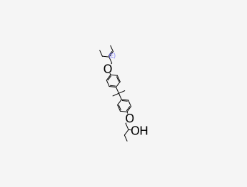 C/C=C(\CC)COc1ccc(C(C)(C)c2ccc(OCC(O)CC)cc2)cc1